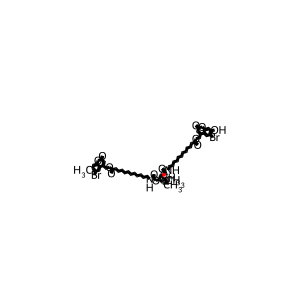 Cc1cc2oc(=O)cc(COC(=O)CCCCCCCCCCCNC(=O)OC(COC(=O)NCCCCCCCCCCCC(=O)OCc3cc(=O)oc4cc(O)c(Br)cc34)C[N+](C)(C)C)c2cc1Br